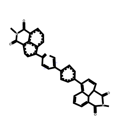 C=C(/C=C\C(=C/C)c1ccc(C2=C3C=CC=C4C(=O)N(C)C(=O)C(C=C2)C43)cc1)c1ccc2c3c(cccc13)C(=O)N(C)C2=O